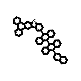 c1ccc2cc(-c3c4ccccc4c(-c4c5ccccc5c(-c5ccc6sc7cc8c9ccccc9c9ccccc9c8cc7c6c5)c5ccccc45)c4ccccc34)ccc2c1